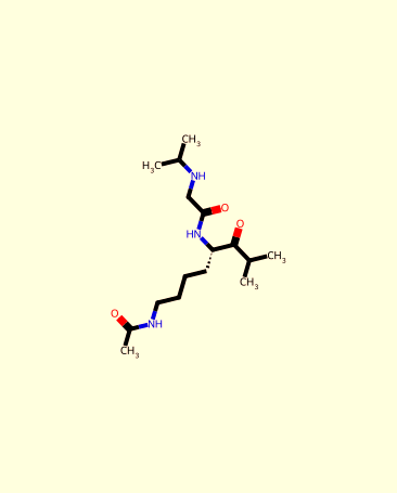 CC(=O)NCCCC[C@H](NC(=O)CNC(C)C)C(=O)C(C)C